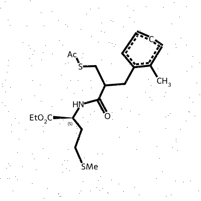 CCOC(=O)[C@H](CCSC)NC(=O)C(CSC(C)=O)Cc1ccccc1C